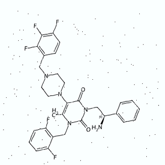 Cc1c(N2CCN(Cc3ccc(F)c(F)c3F)CC2)c(=O)n(C[C@H](N)c2ccccc2)c(=O)n1Cc1c(F)cccc1F